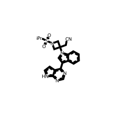 CC(C)S(=O)(=O)N1CC(CC#N)(n2cc(-c3ncnc4[nH]ccc34)c3ccccc32)C1